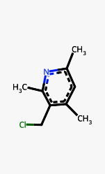 Cc1cc(C)c(CCl)c(C)n1